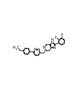 CCc1ccc(-c2ccc(CN3Cc4nc(-c5cccc(F)c5F)[nH]c4C=N3)nn2)cc1